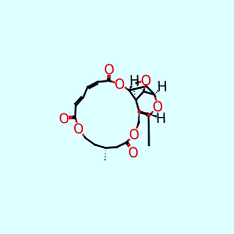 CC1=C[C@H]2O[C@@H]3C[C@H]4OC(=O)/C=C\C=C\C(=O)OCC[C@@H](C)CC(=O)OC[C@@]2(CC1)[C@]4(C)[C@]31CO1